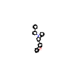 C1=CCCC(C2=CC=CC(N3C4=C(C=CCC4)C4C=C(C5CC=C6Oc7ccccc7C6C5)C=CC43)C2)=C1